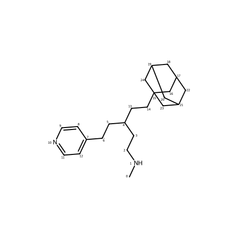 CNCCC(C[CH]c1ccncc1)CCC12CC3CC(CC(C3)C1)C2